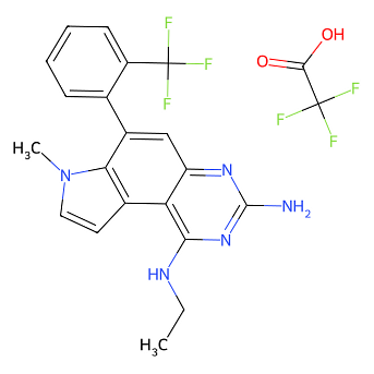 CCNc1nc(N)nc2cc(-c3ccccc3C(F)(F)F)c3c(ccn3C)c12.O=C(O)C(F)(F)F